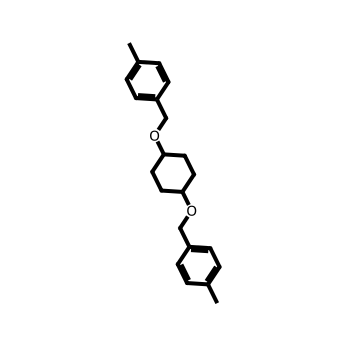 Cc1ccc(COC2CCC(OCc3ccc(C)cc3)CC2)cc1